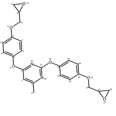 Cc1cc(Oc2ccc(OCC3CO3)cc2)nc(Oc2ccc(OCC3CO3)cc2)n1